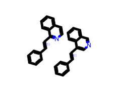 C(=C\c1cncc2ccccc12)/c1ccccc1.C(=C\c1nccc2ccccc12)/c1ccccc1